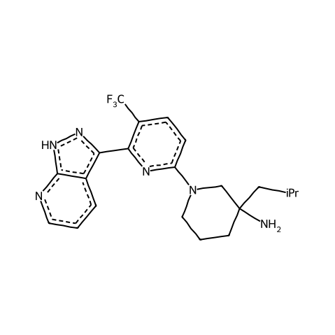 CC(C)CC1(N)CCCN(c2ccc(C(F)(F)F)c(-c3n[nH]c4ncccc34)n2)C1